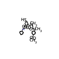 COC(=O)c1ccc(N(C)C(=O)CN(C)C(=O)[C@@H]2C[C@@H](S)CN2S(=O)(=O)/C=C/c2ccccc2)cc1